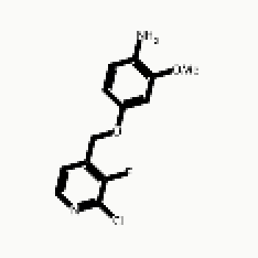 COc1cc(OCc2ccnc(Cl)c2F)ccc1N